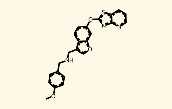 COc1ccc(CNCc2coc3cc(Oc4nc5ncccc5s4)ccc23)cc1